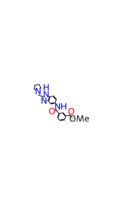 COC(=O)c1cccc(C(=O)Nc2ccc3[nH]c(CN4CCC[C@@H]4C)nc3c2)c1